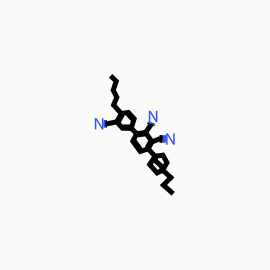 CCCCCc1ccc(-c2ccc(C34CCC(CCC)(CC3)CC4)c(C#N)c2C#N)cc1C#N